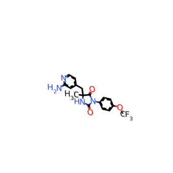 CC1(Cc2ccnc(N)c2)NC(=O)N(c2ccc(OC(F)(F)F)cc2)C1=O